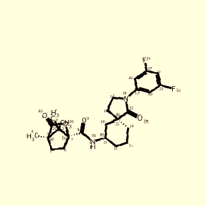 CC1(C)[C@@]2(C)CC[C@]1(C(=O)N[C@@H]1CCC[C@@]3(CCN(c4cc(F)cc(F)c4)C3=O)C1)OC2=O